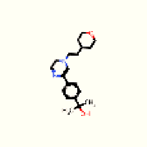 CC(C)(O)c1ccc(C2=CN(CCC3CCOCC3)CC=N2)cc1